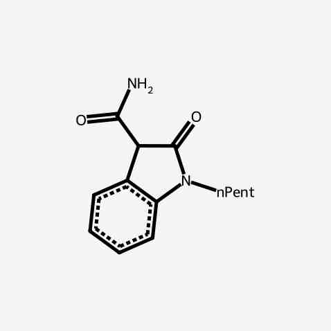 CCCCCN1C(=O)C(C(N)=O)c2ccccc21